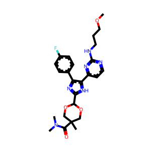 COCCCNc1nccc(-c2[nH]c(C3OCC(C)(C(=O)N(C)C)CO3)nc2-c2ccc(F)cc2)n1